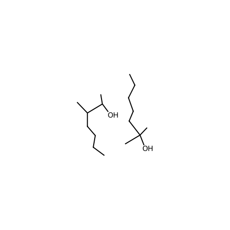 CCCCC(C)C(C)O.CCCCCC(C)(C)O